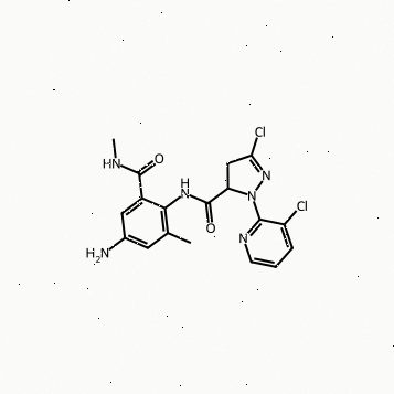 CNC(=O)c1cc(N)cc(C)c1NC(=O)C1CC(Cl)=NN1c1ncccc1Cl